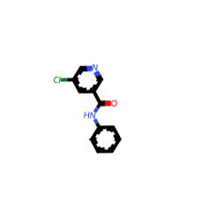 O=C(Nc1[c]cccc1)c1cncc(Cl)c1